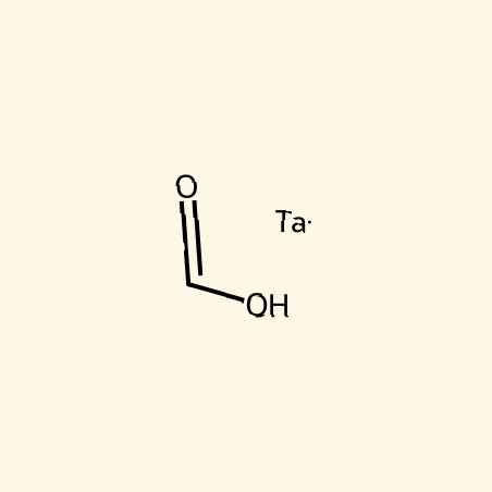 O=CO.[Ta]